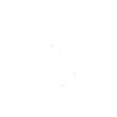 CC(C)c1ccc(CN2CCC(O)C2)cc1